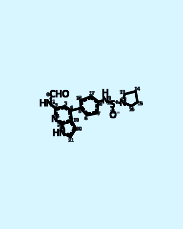 O=CNc1cc(-c2ccc(N[S+]([O-])N3CCCC3)cc2)c2cc[nH]c2n1